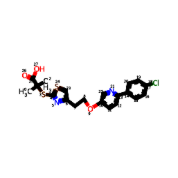 CC(C)(Sc1nc(CCOc2ccc(-c3ccc(Cl)cc3)nc2)cs1)C(=O)O